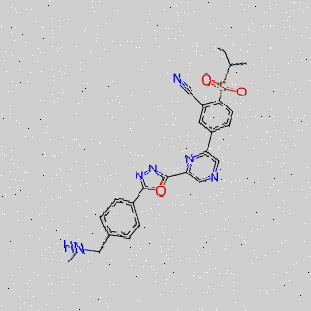 CNCc1ccc(-c2nnc(-c3cncc(-c4ccc(S(=O)(=O)C(C)C)c(C#N)c4)n3)o2)cc1